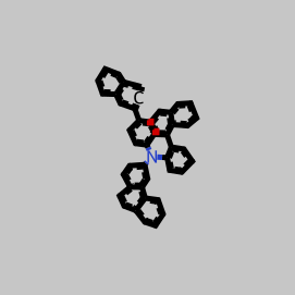 c1ccc(N(c2ccc(-c3ccc4ccccc4c3)cc2)c2ccc3ccc4ccccc4c3c2)c(-c2cccc3ccccc23)c1